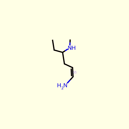 CCC(C/C=C\N)NC